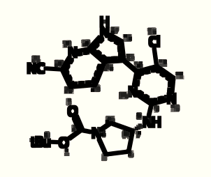 CC(C)(C)OC(=O)N1CC[C@@H](Nc2ncc(Cl)c(-c3c[nH]c4nc(C#N)ccc34)n2)C1